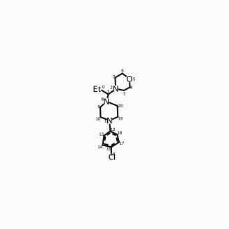 CCC(N1CCOCC1)N1CCN(c2ccc(Cl)cc2)CC1